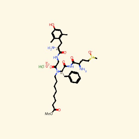 COC(=O)CCCCCCCN(C(=O)CNC(=O)[C@H](N)Cc1c(C)cc(O)cc1C)[C@@H](Cc1ccccc1)C(=O)NC(=O)C(N)CC[S+](C)[O-].Cl.O